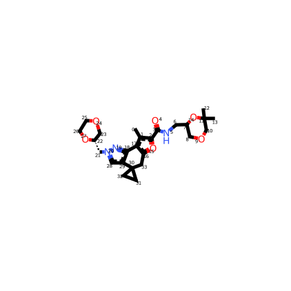 Cc1c(C(=O)NCC2COCC(C)(C)O2)oc2c1-c1nn(C[C@H]3COCCO3)cc1C1(CC1)C2